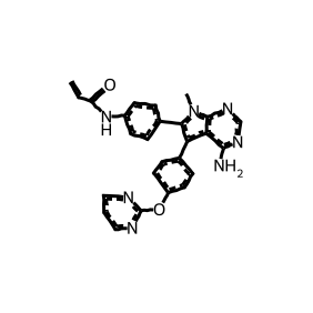 C=CC(=O)Nc1ccc(-c2c(-c3ccc(Oc4ncccn4)cc3)c3c(N)ncnc3n2C)cc1